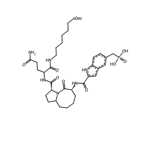 CCCCCCCCCCCCCCCCNC(=O)C(CCC(N)=O)NC(=O)[C@@H]1CCC2CCCC[C@H](NC(=O)c3cc4cc(CP(=O)(O)O)ccc4[nH]3)C(=O)N21